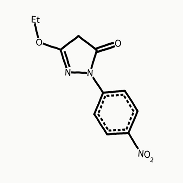 CCOC1=NN(c2ccc([N+](=O)[O-])cc2)C(=O)C1